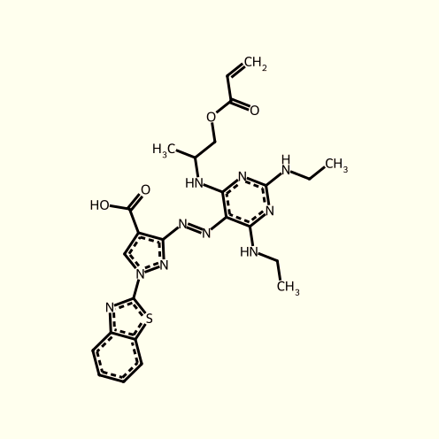 C=CC(=O)OCC(C)Nc1nc(NCC)nc(NCC)c1N=Nc1nn(-c2nc3ccccc3s2)cc1C(=O)O